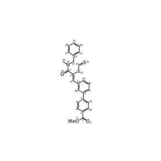 COC(=O)c1ccc(-c2cccc(/C=C(\SC=S)C(=O)N(C)Cc3ccccc3)c2)cc1